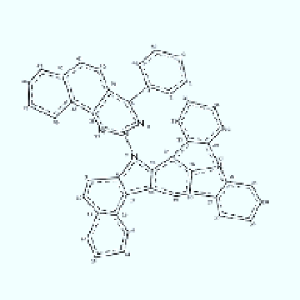 c1ccc(-c2nc(-n3c4ccc5ccccc5c4c4cc5c6ccccc6n6c7ccccc7c(c43)c56)nc3c2ccc2ccccc23)cc1